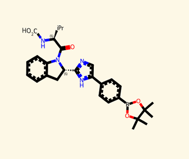 CC(C)[C@H](NC(=O)O)C(=O)N1c2ccccc2C[C@H]1c1ncc(-c2ccc(B3OC(C)(C)C(C)(C)O3)cc2)[nH]1